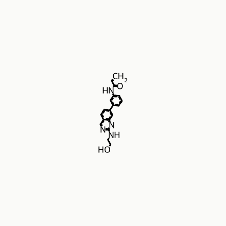 C=CC(=O)Nc1cccc(-c2ccc3cnc(NCCO)nc3c2)c1